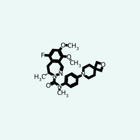 COc1cc(F)c2c(c1OC)C=NN(C(=O)N(C)c1ccc(N3CCC4(CC3)COC4)cc1)[C@H](C)C2